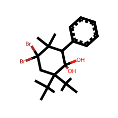 CC(C)(C)C1(C(C)(C)C)CC(Br)(Br)C(C)(C)C(c2ccccc2)C1(O)O